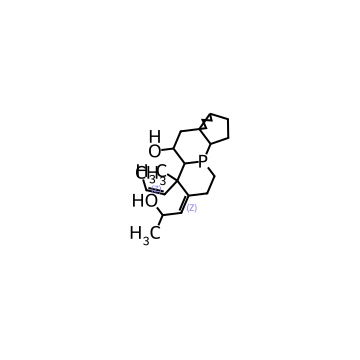 C/C=C\C1(C)/C(=C\C(C)O)CCP2C1C(O)CC13CCCC1CCC23